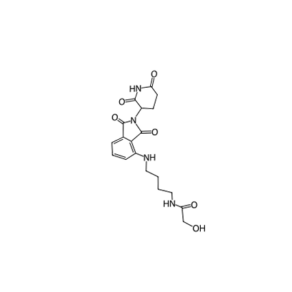 O=C(CO)NCCCCNc1cccc2c1C(=O)N(C1CCC(=O)NC1=O)C2=O